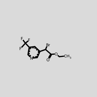 CCOC(=O)C(Br)c1cncc(C(F)(F)F)c1